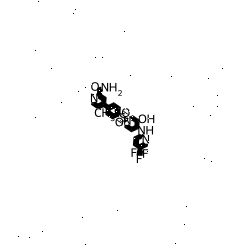 Cc1cnc(C(N)=O)cc1-c1ccc(S(=O)(=O)N2CC[C@@H](Nc3ccc(C(F)(F)F)cn3)[C@@H](O)C2)cc1